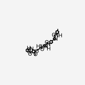 COc1cc2c(cc1OCCCC(=O)Nc1cc(C(=O)Nc3ccc(-c4cc(C(=O)Nc5ccc(C)cc5)n(C)c4)cc3)n(C)c1)N=C[C@@H]1CCCCN1C2=O